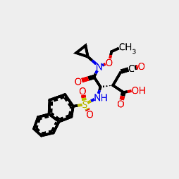 CCON(C(=O)C(NS(=O)(=O)c1ccc2ccccc2c1)[C@H](C=C=O)C(=O)O)C1CC1